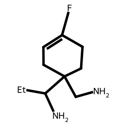 CCC(N)C1(CN)CC=C(F)CC1